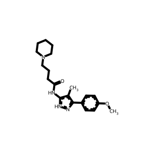 COc1ccc(-c2n[nH]c(NC(=O)CCCN3CCCCC3)c2C)cc1